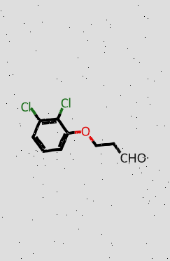 O=[C]CCOc1cccc(Cl)c1Cl